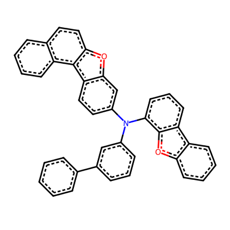 c1ccc(-c2cccc(N(c3ccc4c(c3)oc3ccc5ccccc5c34)c3cccc4c3oc3ccccc34)c2)cc1